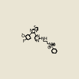 COc1cc(-c2nc3sccn3c2-c2ccnc(NCCCNS(=O)(=O)c3ccccc3)n2)ccc1F